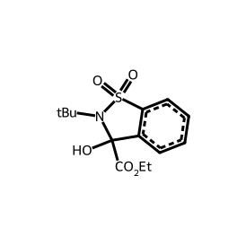 CCOC(=O)C1(O)c2ccccc2S(=O)(=O)N1C(C)(C)C